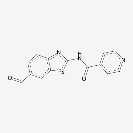 O=Cc1ccc2nc(NC(=O)c3ccncc3)sc2c1